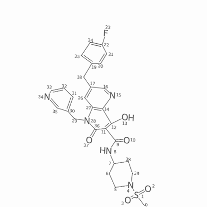 CS(=O)(=O)N1CCC(NC(=O)c2c(O)c3ncc(Cc4ccc(F)cc4)cc3n(Cc3cccnc3)c2=O)CC1